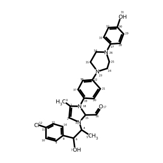 CC1=CN(C(C)C(O)c2ccc(Cl)cc2)C(C=O)N1c1ccc(N2CCN(c3ccc(O)cc3)CC2)cc1